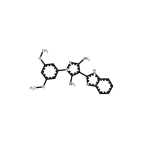 COc1cc(OC)cc(-n2nc(N)c(-c3nc4ccccc4[nH]3)c2N)c1